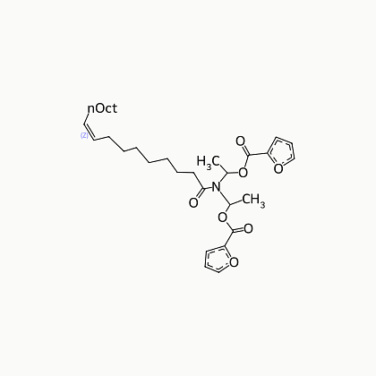 CCCCCCCC/C=C\CCCCCCCC(=O)N(C(C)OC(=O)c1ccco1)C(C)OC(=O)c1ccco1